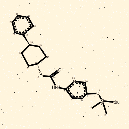 CC(C)(C)[Si](C)(C)Oc1ccc(NC(=O)O[C@H]2CC[C@H](c3ccccc3)CC2)nc1